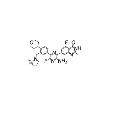 Cc1nc2cc(-c3nc(-c4ccc(C5CCOCC5)c(CN5CCC[C@H]5C)c4)c(F)nc3N)cc(F)c2c(=O)[nH]1